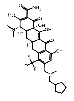 CN(Cc1cc(O)c2c(c1C(F)(F)F)C[C@H]1C[C@H]3[C@H](N(C)C)C(O)=C(C(N)=O)C(=O)[C@@]3(O)C(O)=C1C2=O)CC1CCCC1